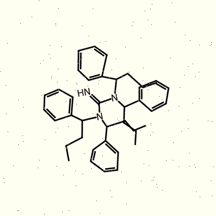 CCCC(c1ccccc1)N(C(=N)N(C(CCC)c1ccccc1)C(CCC)c1ccccc1)C(CCC)c1ccccc1